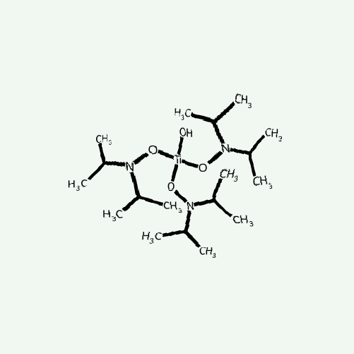 CC(C)N([O][Ti]([OH])([O]N(C(C)C)C(C)C)[O]N(C(C)C)C(C)C)C(C)C